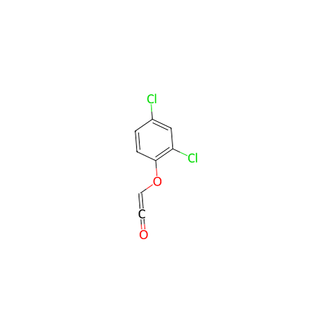 O=C=COc1ccc(Cl)cc1Cl